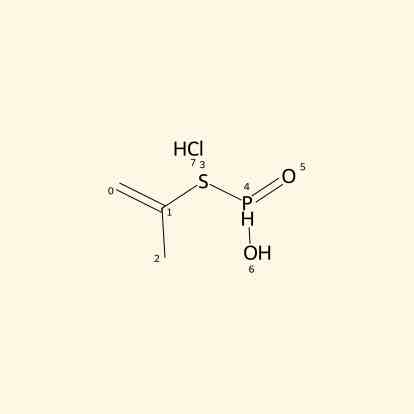 C=C(C)S[PH](=O)O.Cl